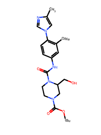 COc1cc(NC(=O)N2CCN(C(=O)OC(C)(C)C)CC2CO)ccc1-n1cnc(C)c1